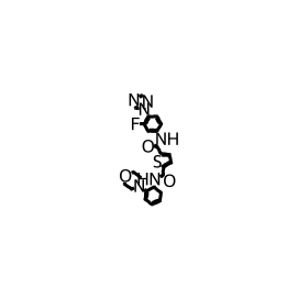 O=C(Nc1ccc(-n2cncn2)c(F)c1)c1ccc(C(=O)NC2CC=CC=C2N2CCOCC2)s1